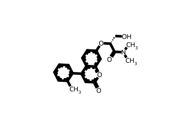 Cc1ccccc1-c1cc(=O)oc2cc(O[C@H](CO)C(=O)N(C)C)ccc12